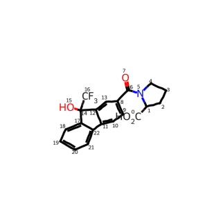 O=C(O)C1CCCN1C(=O)c1ccc2c(c1)C(O)(C(F)(F)F)c1ccccc1-2